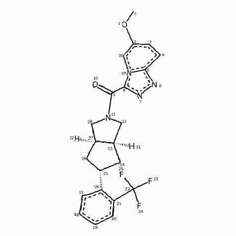 COc1ccc2nnc(C(=O)N3C[C@H]4C[C@H](c5ccccc5C(F)(F)F)C[C@H]4C3)n2c1